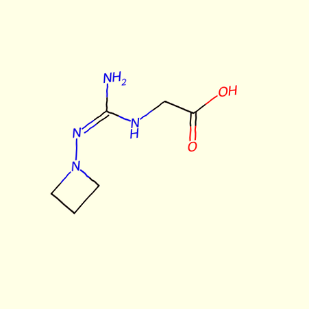 NC(=NN1CCC1)NCC(=O)O